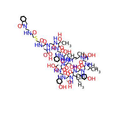 CC[C@H](C)[C@H](NC(=O)[C@H](CO)NC(=O)[C@H](Cc1ccc(O)cc1)NC(=O)[C@H](CC(=O)O)NC(=O)[C@H](CO)NC(=O)[C@@H](NC(=O)[C@H](Cc1ccccc1)NC(=O)[C@@H](NC(=O)CNC(=O)[C@H](CCC(=O)O)NC(=O)CSCC(=O)NCCN1Cc2ccccc2C1=O)[C@@H](C)O)[C@@H](C)O)C(=O)N[C@@H](Cc1ccc(O)cc1)C(=O)N[C@@H](CC(C)C)C(=O)N[C@@H](CC(=O)O)C(=O)N[C@H](C)CCCCN